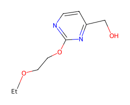 CCOCCOc1nccc(CO)n1